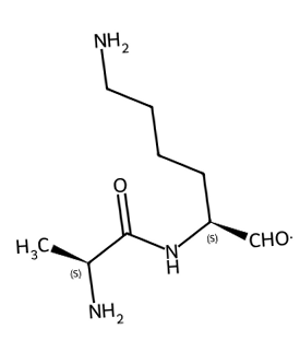 C[C@H](N)C(=O)N[C@H]([C]=O)CCCCN